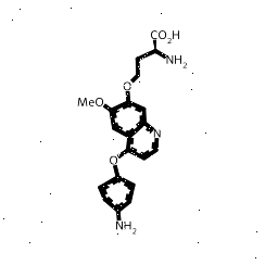 COc1cc2c(Oc3ccc(N)cc3)ccnc2cc1OCC[C@H](N)C(=O)O